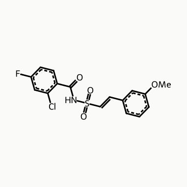 COc1cccc(/C=C/S(=O)(=O)NC(=O)c2ccc(F)cc2Cl)c1